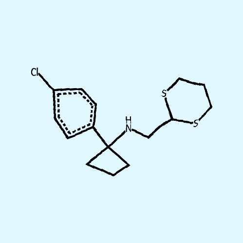 Clc1ccc(C2(NCC3SCCCS3)CCC2)cc1